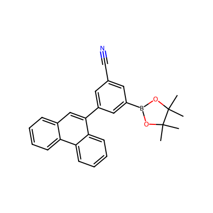 CC1(C)OB(c2cc(C#N)cc(-c3cc4ccccc4c4ccccc34)c2)OC1(C)C